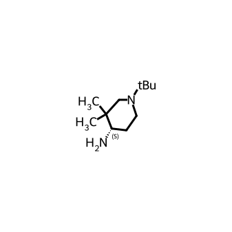 CC1(C)CN(C(C)(C)C)CC[C@@H]1N